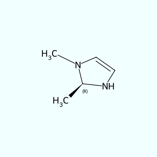 C[C@@H]1NC=CN1C